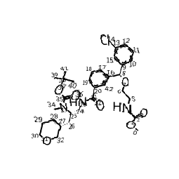 COC(=O)NCCO[C@@H](c1cccc(Cl)c1)c1cccc(C(=O)NC[C@H](C[C@H]2CCCOC2)N(C)C(=O)OC(C)(C)C)c1